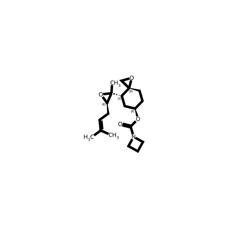 CC(C)=CC[C@H]1OC1(C)[C@H]1C[C@H](OC(=O)N2CCC2)CC[C@]12CO2